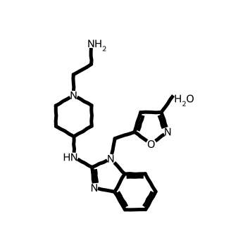 Cc1cc(Cn2c(NC3CCN(CCN)CC3)nc3ccccc32)on1.O